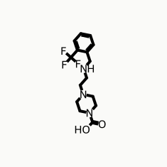 O=C(O)N1CCN(CCNCc2ccccc2C(F)(F)F)CC1